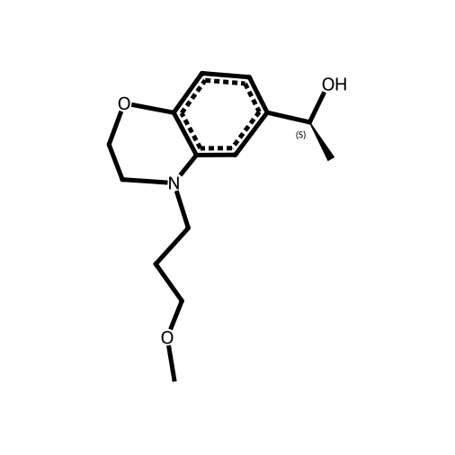 COCCCN1CCOc2ccc([C@H](C)O)cc21